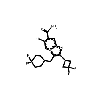 NC(=O)c1cc2nc(C3CC(F)(F)C3)c(CC3CCC(F)(F)CC3)n2cc1Cl